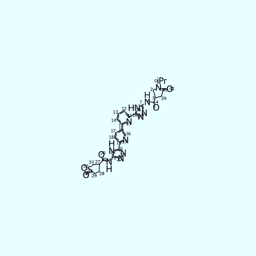 CC(C)N1CC(C(=O)Nc2nnc(-c3cccc(-c4ccc(-c5nnc(NC(=O)C6CCS(=O)(=O)C6)[nH]5)nc4)n3)[nH]2)CC1=O